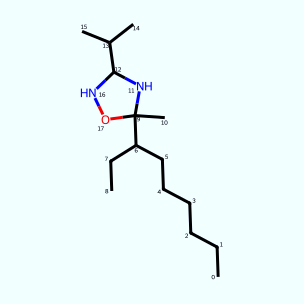 CCCCCCC(CC)C1(C)NC(C(C)C)NO1